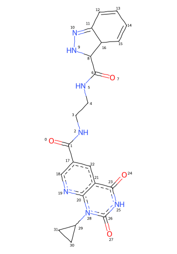 O=C(NCCNC(=O)C1NN=C2C=CC=CC21)c1cnc2c(c1)c(=O)[nH]c(=O)n2C1CC1